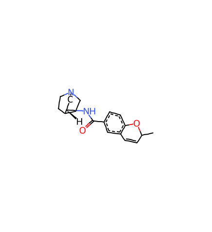 CC1C=Cc2cc(C(=O)N[C@H]3CN4CCC3CC4)ccc2O1